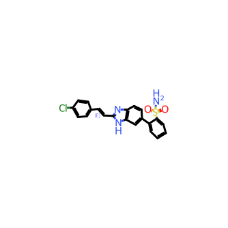 NS(=O)(=O)c1ccccc1-c1ccc2nc(/C=C/c3ccc(Cl)cc3)[nH]c2c1